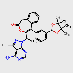 Cc1nn(C(C)C2=C(c3cccc(C4OC(C)(C)C(C)(C)O4)c3)c3ccccc3CC(=O)O2)c2ncnc(N)c12